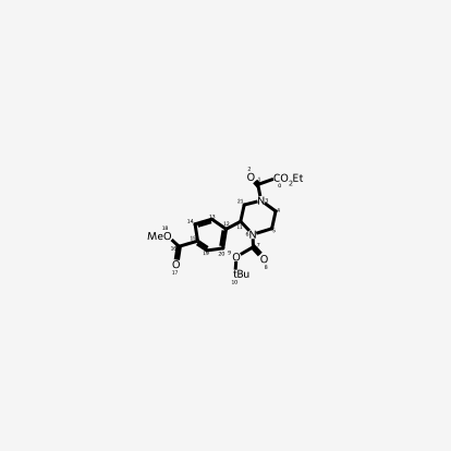 CCOC(=O)C(=O)N1CCN(C(=O)OC(C)(C)C)C(c2ccc(C(=O)OC)cc2)C1